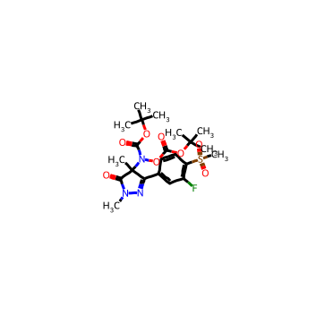 CN1N=C(c2ccc(S(C)(=O)=O)c(F)c2)C(C)(N(OC(=O)OC(C)(C)C)C(=O)OC(C)(C)C)C1=O